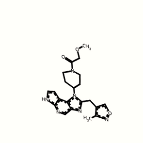 COCC(=O)N1CCC(n2c(Cc3conc3C)nc3cnc4[nH]ccc4c32)CC1